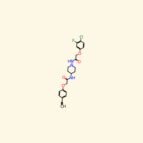 C#Cc1ccc(OCC(=O)NC2CCN(NC(=O)COc3ccc(Cl)c(F)c3)CC2)cc1